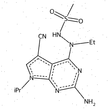 CCN(NS(C)(=O)=O)c1nc(N)nc2c1c(C#N)cn2C(C)C